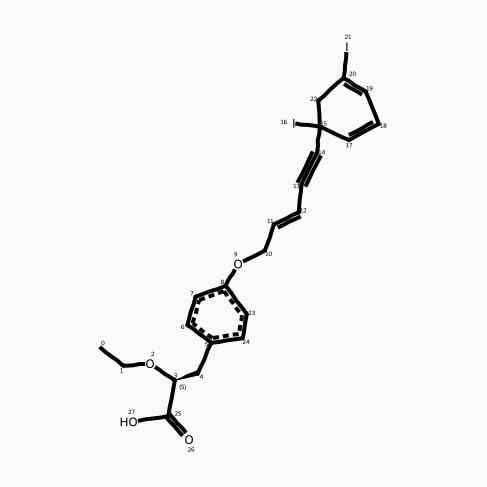 CCO[C@@H](Cc1ccc(OCC=CC#CC2(I)C=CC=C(I)C2)cc1)C(=O)O